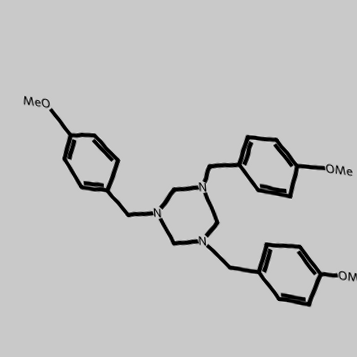 COc1ccc(CN2CN(Cc3ccc(OC)cc3)CN(Cc3ccc(OC)cc3)C2)cc1